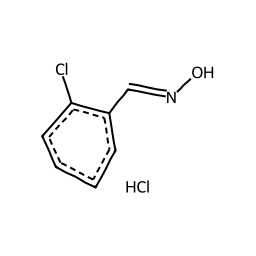 Cl.ON=Cc1ccccc1Cl